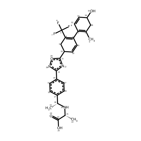 CC1=C(C2=C(C(F)(F)F)CC(c3nc(-c4ccc([C@@H](C)N[C@H](C)C(=O)O)cc4)no3)C=C2)C=CC(O)C1